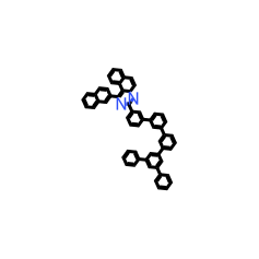 c1ccc(-c2cc(-c3ccccc3)cc(-c3cccc(-c4cccc(-c5cccc(-c6nc(-c7ccc8ccccc8c7)c7c(ccc8ccccc87)n6)c5)c4)c3)c2)cc1